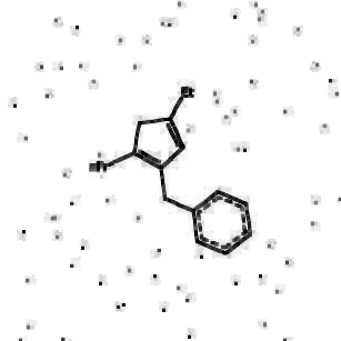 CCCC1=C(Cc2ccccc2)C=C(CC)C1